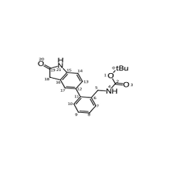 CC(C)(C)OC(=O)NCc1ccccc1-c1ccc2c(c1)CC(=O)N2